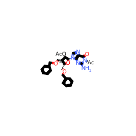 CC(=O)O[C@@H]1[C@H](COCc2ccccc2)[C@@H](COCc2ccccc2)O[C@H]1n1cnc2c(=O)n(C(C)=O)c(N)nc21